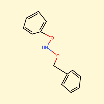 c1ccc(CONOc2ccccc2)cc1